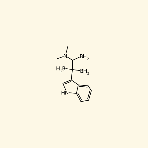 BC(N(C)C)C(B)(B)c1c[nH]c2ccccc12